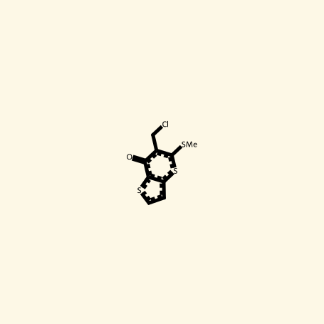 CSc1sc2ccsc2c(=O)c1CCl